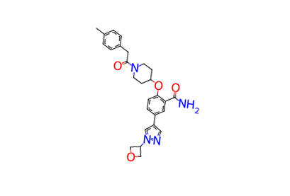 Cc1ccc(CC(=O)N2CCC(Oc3ccc(-c4cnn(C5COC5)c4)cc3C(N)=O)CC2)cc1